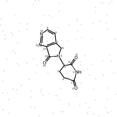 O=C1CCC(N2Cc3ccnnc3C2=O)C(=O)N1